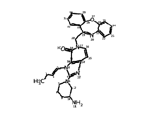 CC/C=C/n1c(N2CCCC(N)C2)nc2ccn(CC3=Nc4ccccc4Oc4ccccc43)c(=O)c21